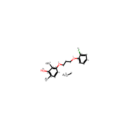 CCCc1c(OCCCOc2ccccc2F)ccc(C(C)=O)c1O.COC(C)=O